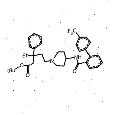 CCC(CCN1CCC(NC(=O)c2ccccc2-c2ccc(C(F)(F)F)cc2)CC1)(CC(=O)OC(C)(C)C)c1ccccc1